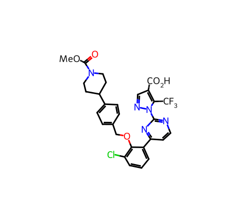 COC(=O)N1CCC(c2ccc(COc3c(Cl)cccc3-c3ccnc(-n4ncc(C(=O)O)c4C(F)(F)F)n3)cc2)CC1